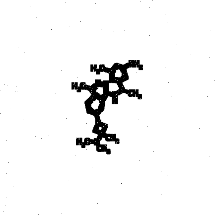 Cc1cc(N)cc([C@@H](C)Nc2nnc(C)c3ccc(N4CC(C)(N(C)C)C4)cc23)n1